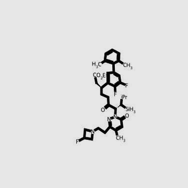 CCOC(=O)C[C@H](CCC(=O)[C@H](C([SiH3])C(C)C)n1nc(CCN2CC(F)C2)c(C)cc1=O)c1cc(-c2c(C)cccc2C)cc(F)c1F